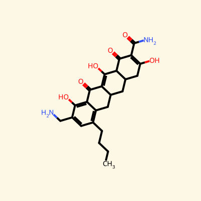 CCCCc1cc(CN)c(O)c2c1CC1CC3CC(O)=C(C(N)=O)C(=O)C3C(O)=C1C2=O